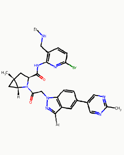 CCNCc1ccc(Br)nc1NC(=O)[C@@H]1C[C@@]2(C)C[C@H]2N1C(=O)Cn1nc(C(C)=O)c2cc(-c3cnc(C)nc3)ccc21